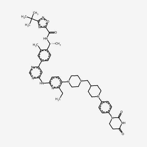 CCc1nc(Nc2cc(-c3ccc([C@@H](C)NC(=O)c4nc(C(C)(C)C)no4)c(C)c3)ncn2)ccc1N1CCN(CC2CCN(c3ccc(N4CCC(=O)NC4=O)cc3)CC2)CC1